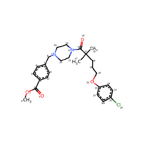 COC(=O)c1ccc(CN2CCN(C(=O)C(C)(C)CCCOc3ccc(Cl)cc3)CC2)cc1